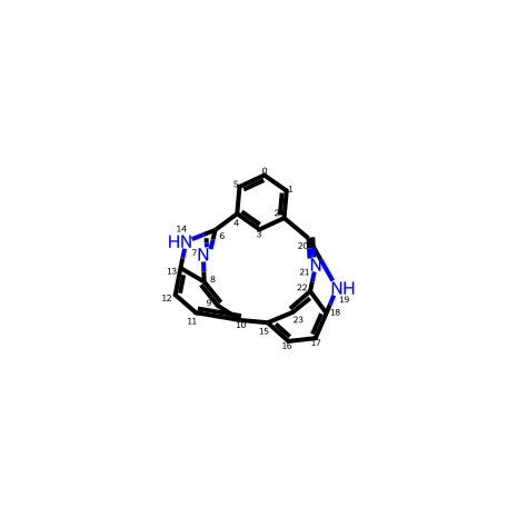 c1cc2cc(c1)-c1nc3cc(ccc3[nH]1)-c1ccc3[nH]c-2nc3c1